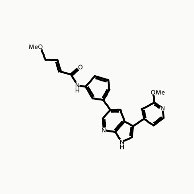 COCC=CC(=O)Nc1cccc(-c2cnc3[nH]cc(-c4ccnc(OC)c4)c3c2)c1